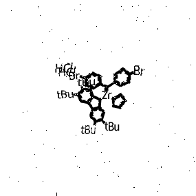 CC(C)(C)c1cc2c(cc1C(C)(C)C)[CH]([Zr]([C]1=CC=CC1)=[C](c1ccc(Br)cc1)c1ccc(Br)cc1)c1cc(C(C)(C)C)c(C(C)(C)C)cc1-2.Cl.Cl